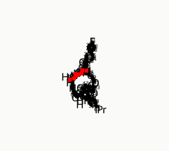 C/C1=C/C=C/[C@H](C)[C@H](O)[C@@H](C)[C@@H](O)[C@@H](C)[C@H](OC(=O)CC(=O)N2CCCN(c3ccc(F)cc3)CC2)[C@H](C)C/C=C/O[C@@]2(C)Oc3c(C)c(O)c4c(c3C2=O)C2=NC3(CCN(CC(C)C)CC3)NC2=C(NC1=O)C4=O